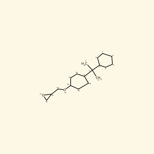 CC(C)(C1CCCCC1)C1CCC(OCC2CO2)CC1